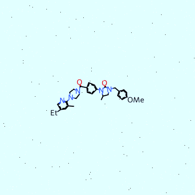 CCc1cnc(N2CCN(C(=O)c3ccc(N4C(=O)N(Cc5ccc(OC)cc5)CC4C)cc3)CC2)c(C)c1